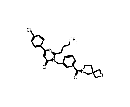 O=C(c1cccc(Cn2c(CCCC(F)(F)F)nc(-c3ccc(Cl)cc3)cc2=O)c1)N1CCC2(COC2)C1